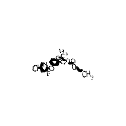 CCCCOC(=O)COC(=O)C(C)Oc1ccc(Oc2ncc(Cl)cc2F)cc1